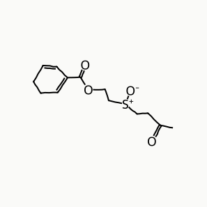 CC(=O)CC[S+]([O-])CCOC(=O)C1=CCCC=C1